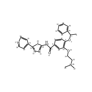 CC(Oc1ccc(C(=O)Nc2nnc(-c3ccncc3)s2)cc1OCCN(C)C)c1ccccc1